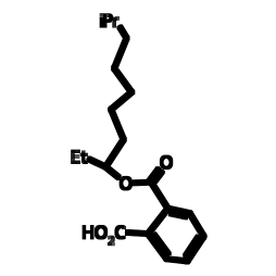 CCC(CCCCCC(C)C)OC(=O)c1ccccc1C(=O)O